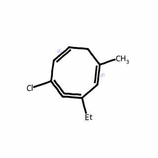 CCC1=C=C(Cl)/C=C\C/C(C)=C\1